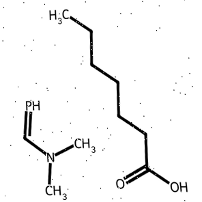 CCCCCCC(=O)O.CN(C)C=P